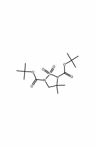 CC(C)(C)OC(=O)N1CC(C)(C)N(C(=O)OC(C)(C)C)S1(=O)=O